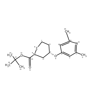 Cc1cc(O[C@H]2CCCN(C(=O)OC(C)(C)C)C2)cc(C)n1